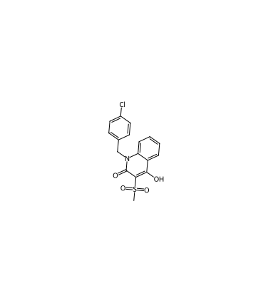 CS(=O)(=O)c1c(O)c2ccccc2n(Cc2ccc(Cl)cc2)c1=O